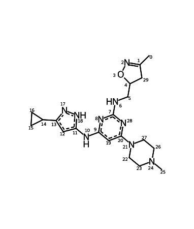 CC1=NOC(CNc2nc(Nc3cc(C4CC4)n[nH]3)cc(N3CCN(C)CC3)n2)C1